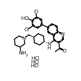 CC(=O)c1cnc2ccc(-c3cc(Cl)c(O)c(Cl)c3)cc2c1N[C@H]1CC[C@H](CN2CCCC(N)C2)CC1.Cl.Cl.Cl